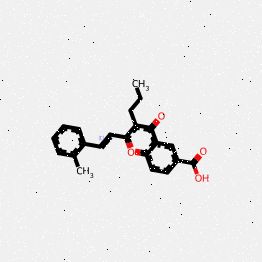 CCCc1c(/C=C/c2ccccc2C)oc2ccc(C(=O)O)cc2c1=O